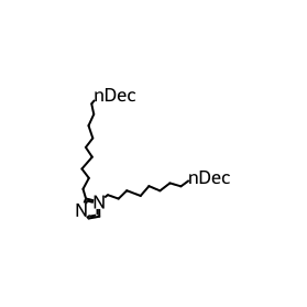 CCCCCCCCCCCCCCCCCCCc1nccn1CCCCCCCCCCCCCCCCCC